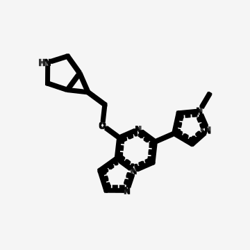 Cn1cc(-c2cn3nccc3c(OCC3C4CNCC43)n2)cn1